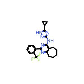 FC(F)(F)c1ccccc1-c1nc2c(c(Nc3n[nH]c(C4CC4)n3)n1)CCCCC2